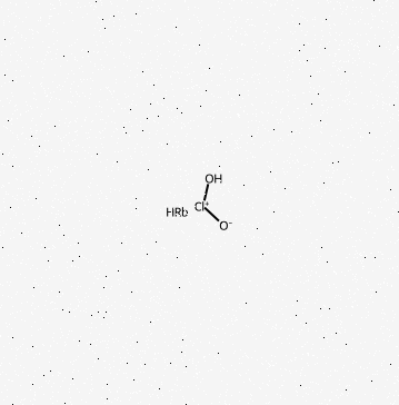 [O-][Cl+]O.[RbH]